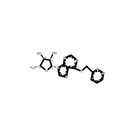 C[C@H]1O[C@@H](n2cnc3c(SCc4cccnn4)ncnc32)[C@H](O)[C@@H]1O